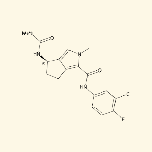 CNC(=O)N[C@@H]1CCc2c1cn(C)c2C(=O)Nc1ccc(F)c(Cl)c1